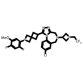 COc1cc(N2CC3(CC(c4nnc5n4-c4ccc(Cl)cc4CN(C4CN(CC(F)(F)F)C4)C5)C3)C2)c(F)cc1F